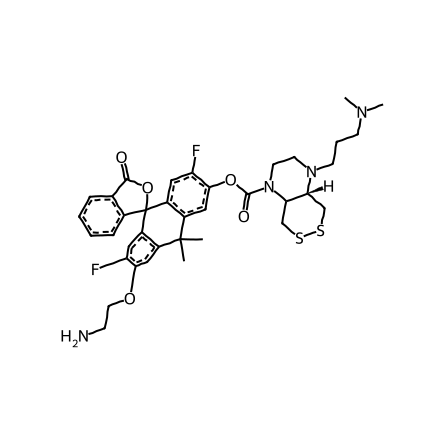 CN(C)CCCN1CCN(C(=O)Oc2cc3c(cc2F)C2(OC(=O)c4ccccc42)c2cc(F)c(OCCN)cc2C3(C)C)C2CSSC[C@H]21